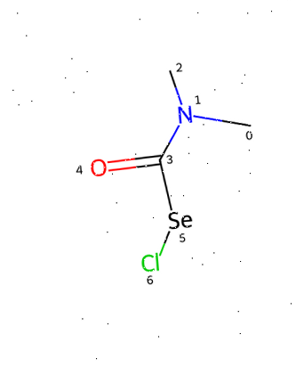 CN(C)C(=O)[Se]Cl